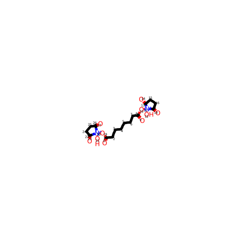 O=C(CCCCCCC(=O)O[N+]1(O)C(=O)CCC1=O)O[N+]1(O)C(=O)CCC1=O